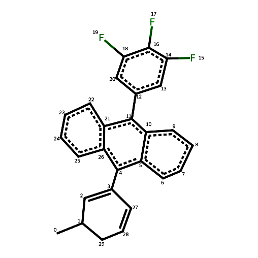 CC1C=C(c2c3ccccc3c(-c3cc(F)c(F)c(F)c3)c3ccccc23)C=CC1